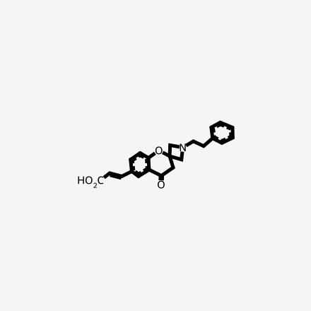 O=C(O)C=Cc1ccc2c(c1)C(=O)CC1(CN(CCc3ccccc3)C1)O2